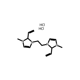 C=CC1N(C)C=CN1CCN1C=CN(C)C1C=C.Cl.Cl